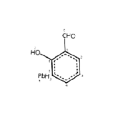 O=Cc1ccccc1O.[PbH2]